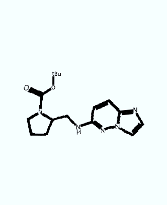 CC(C)(C)OC(=O)N1CCCC1CNc1ccc2nccn2n1